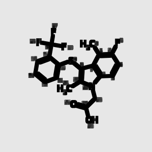 Cc1c(F)ccc2c1c(Sc1ccccc1C(F)(F)F)c(C)n2CC(=O)O